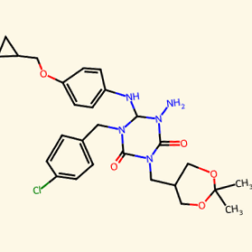 CC1(C)OCC(CN2C(=O)N(N)C(Nc3ccc(OCC4CC4)cc3)N(Cc3ccc(Cl)cc3)C2=O)CO1